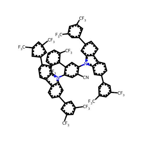 N#Cc1cc(-n2c3cc(-c4cc(C(F)(F)F)cc(C(F)(F)F)c4)ccc3c3ccc(-c4cc(C(F)(F)F)cc(C(F)(F)F)c4)cc32)c(-c2c(C(F)(F)F)cccc2C(F)(F)F)cc1-n1c2cc(-c3cc(C(F)(F)F)cc(C(F)(F)F)c3)ccc2c2ccc(-c3cc(C(F)(F)F)cc(C(F)(F)F)c3)cc21